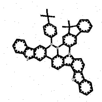 CC(C)(C)c1ccc(N2B3c4cc5c(cc4-n4c6ccc7c8ccccc8oc7c6c6ccc(c3c64)-c3cc4sc6ccccc6c4cc32)-c2ccccc2C5(C)C)cc1